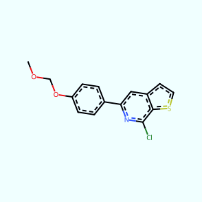 COCOc1ccc(-c2cc3ccsc3c(Cl)n2)cc1